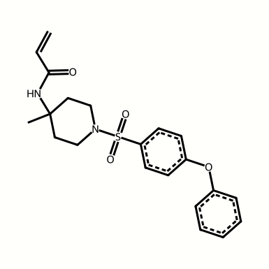 C=CC(=O)NC1(C)CCN(S(=O)(=O)c2ccc(Oc3ccccc3)cc2)CC1